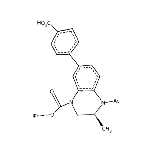 CC(=O)N1c2ccc(-c3ccc(C(=O)O)cc3)cc2N(C(=O)OC(C)C)C[C@@H]1C